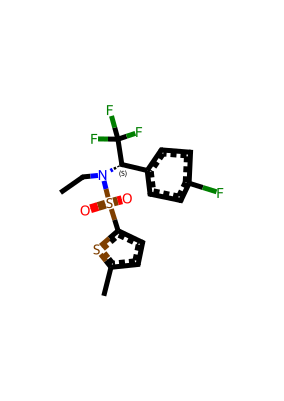 CCN([C@@H](c1ccc(F)cc1)C(F)(F)F)S(=O)(=O)c1ccc(C)s1